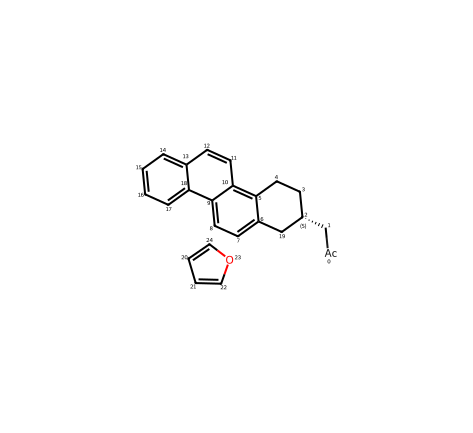 CC(=O)C[C@H]1CCc2c(ccc3c2ccc2ccccc23)C1.c1ccoc1